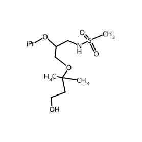 CC(C)OC(CNS(C)(=O)=O)COC(C)(C)CCO